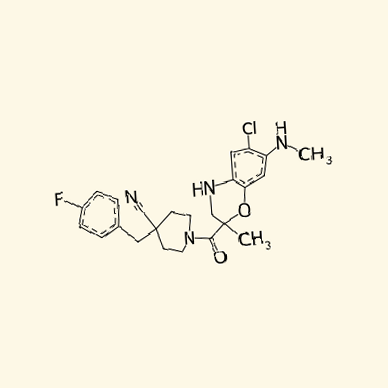 CNc1cc2c(cc1Cl)NCC(C)(C(=O)N1CCC(C#N)(Cc3ccc(F)cc3)CC1)O2